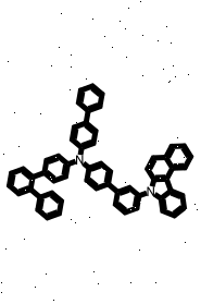 c1ccc(-c2ccc(N(c3ccc(-c4cccc(-n5c6ccccc6c6c7ccccc7ccc65)c4)cc3)c3ccc(-c4ccccc4-c4ccccc4)cc3)cc2)cc1